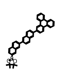 CC1(C)OB(c2ccc3ccc(-c4ccc5cc(-c6ccc7c8ccccc8c8ccccc8c7c6)ccc5c4)cc3c2)OC1(C)C